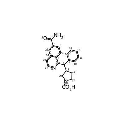 NC(=O)c1ccc2c(C(c3ccccc3)[C@H]3CCN(C(=O)O)C3)nccc2c1